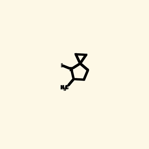 CC1CCC2(CC2)N1I